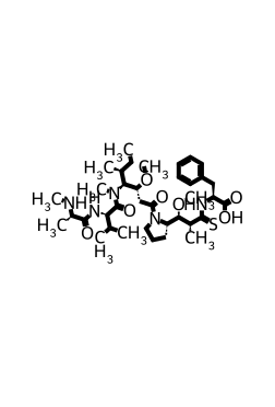 CC[C@H](C)[C@@H]([C@@H](CC(=O)N1CCC[C@H]1[C@H](OC)[C@@H](C)C(=S)N[C@@H](Cc1ccccc1)C(=O)O)OC)N(C)C(=O)[C@@H](NC(=O)[C@H](C)NC)C(C)C